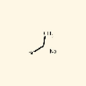 CCBr.[Na]